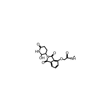 CNC(=O)COc1cccc2c1C(=O)N(C1CCC(=O)NC1O)C2=O